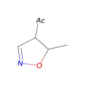 CC(=O)C1C=NOC1C